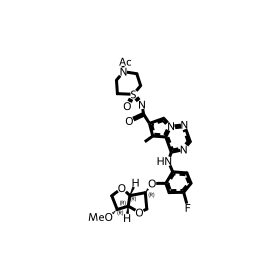 CO[C@@H]1CO[C@H]2[C@@H]1OC[C@H]2Oc1cc(F)ccc1Nc1ncnn2cc(C(=O)N=S3(=O)CCN(C(C)=O)CC3)c(C)c12